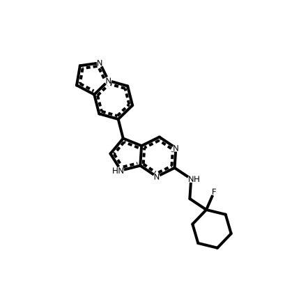 FC1(CNc2ncc3c(-c4ccn5nccc5c4)c[nH]c3n2)CCCCC1